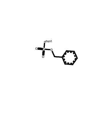 CCCCCS(=O)(=O)OCc1ccccc1